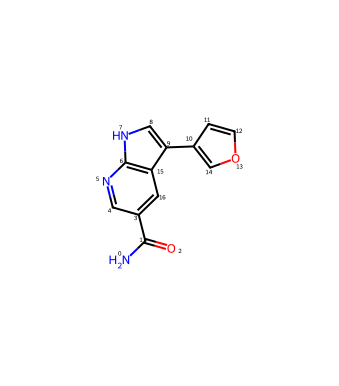 NC(=O)c1cnc2[nH]cc(-c3ccoc3)c2c1